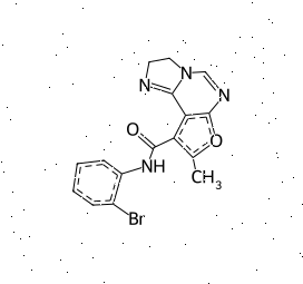 Cc1oc2c(c1C(=O)Nc1ccccc1Br)C1=NCCN1C=N2